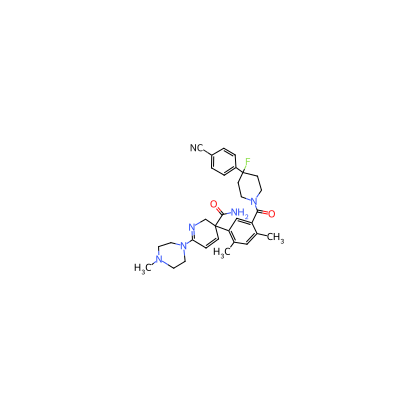 Cc1cc(C)c(C2(C(N)=O)C=CC(N3CCN(C)CC3)=NC2)cc1C(=O)N1CCC(F)(c2ccc(C#N)cc2)CC1